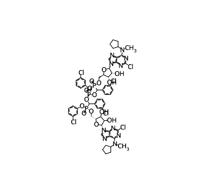 CN(c1nc(Cl)nc2c1ncn2[C@@H]1O[C@H](COP(=O)(Oc2cccc(Cl)c2)C(O[PH](=O)OC(c2cccc(Cl)c2)P(=O)(OC[C@H]2O[C@@H](n3cnc4c(N(C)C5CCCC5)nc(Cl)nc43)[C@H](O)[C@@H]2O)Oc2cccc(Cl)c2)c2cccc(Cl)c2)[C@@H](O)[C@H]1O)C1CCCC1